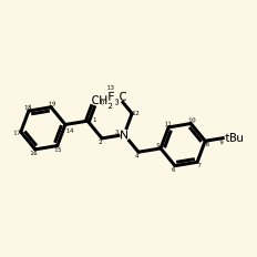 C=C(CN(Cc1ccc(C(C)(C)C)cc1)CC(F)(F)F)c1ccccc1